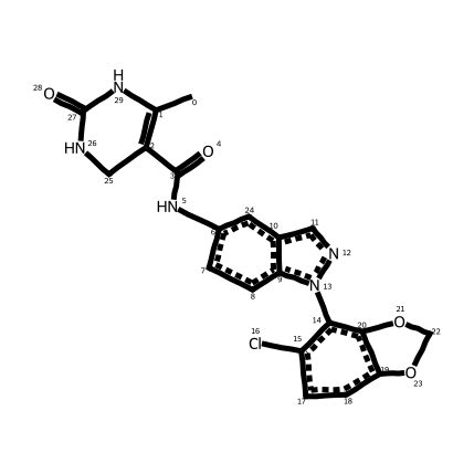 CC1=C(C(=O)Nc2ccc3c(cnn3-c3c(Cl)ccc4c3OCO4)c2)CNC(=O)N1